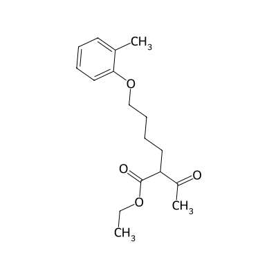 CCOC(=O)C(CCCCOc1ccccc1C)C(C)=O